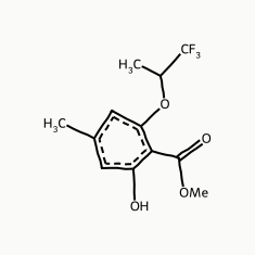 COC(=O)c1c(O)cc(C)cc1OC(C)C(F)(F)F